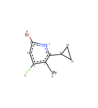 CC(C)c1c(F)cc(Br)nc1C1CC1